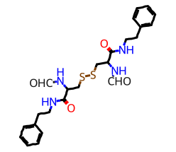 O=CNC(CSSCC(NC=O)C(=O)NCCc1ccccc1)C(=O)NCCc1ccccc1